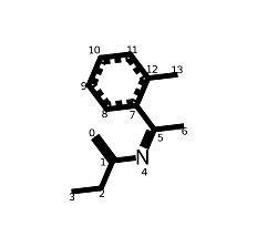 C=C(CC)/N=C(/C)c1ccccc1C